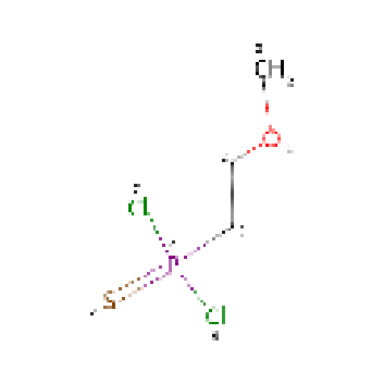 COCCP(=S)(Cl)Cl